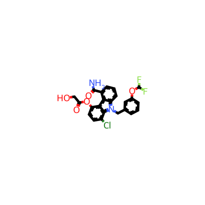 NC(=O)c1cccc2c1c1c(OC(=O)CO)ccc(Cl)c1n2Cc1cccc(OC(F)F)c1